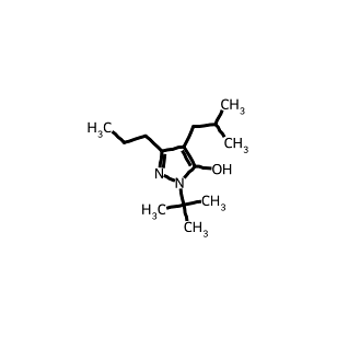 CCCc1nn(C(C)(C)C)c(O)c1CC(C)C